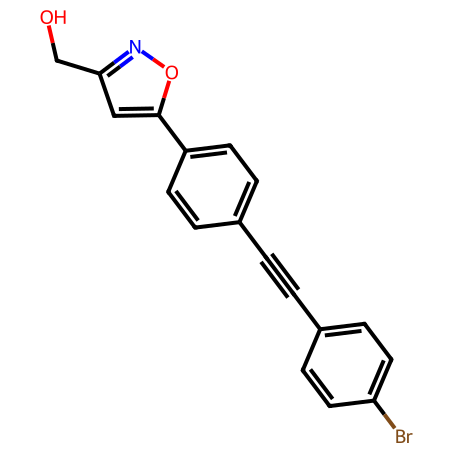 OCc1cc(-c2ccc(C#Cc3ccc(Br)cc3)cc2)on1